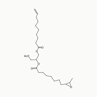 C=CCCCCCCCC(=O)OCC(COC(C)=O)OC(=O)CCCCCCCC1OC1C